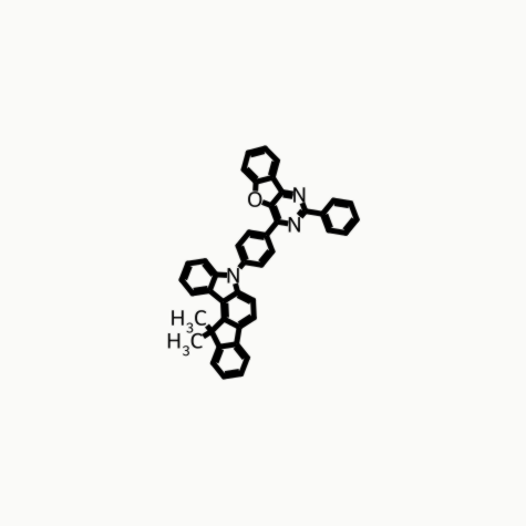 CC1(C)c2ccccc2-c2ccc3c(c21)c1ccccc1n3-c1ccc(-c2nc(-c3ccccc3)nc3c2oc2ccccc23)cc1